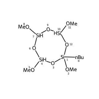 CCCC[Si]1(OC)O[SiH](OC)O[SiH](OC)O[SiH](OC)O1